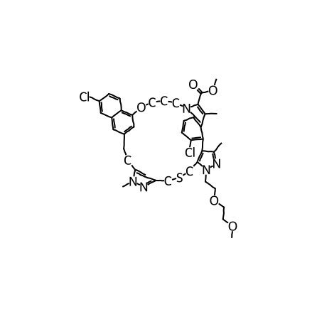 COCCOCCn1nc(C)c2c1CSCc1cc(n(C)n1)CCc1cc(c3ccc(Cl)cc3c1)OCCCn1c(C(=O)OC)c(C)c3c-2c(Cl)ccc31